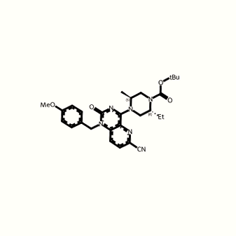 CC[C@@H]1CN(c2nc(=O)n(Cc3ccc(OC)cc3)c3ccc(C#N)nc23)[C@@H](C)CN1C(=O)OC(C)(C)C